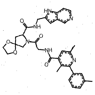 Cc1cccc(-c2nc(C)cc(C(=O)NCC(=O)N3CC4(CC3C(=O)NCc3cc5cnccc5[nH]3)OCCO4)c2C)c1